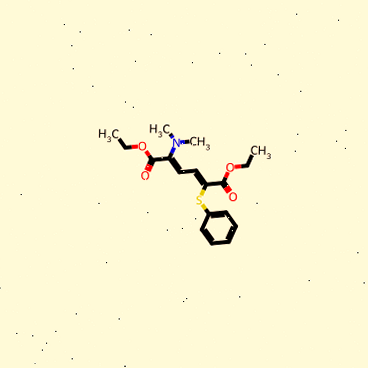 CCOC(=O)/C(=C/C=C(/C(=O)OCC)N(C)C)Sc1ccccc1